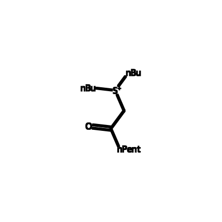 CCCCCC(=O)C[S+](CCCC)CCCC